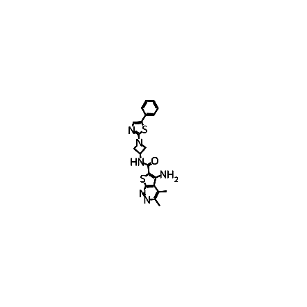 Cc1nnc2sc(C(=O)NC3CN(c4ncc(-c5ccccc5)s4)C3)c(N)c2c1C